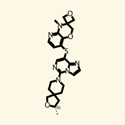 C[C@H]1CC2(CCN(c3ncc(Sc4ccnc5c4OCC4(COC4)N5C)c4nccn34)CC2)CO1